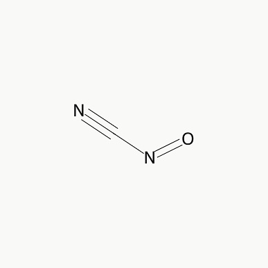 N#CN=O